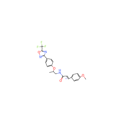 COc1ccc(/C=C/C(=O)NCC(C)Oc2ccc(-c3noc(C(F)(F)F)n3)cc2)cc1